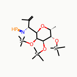 C=C(C)[C@@H](N=P)[C@H]1O[C@H](C)[C@H](O[Si](C)(C)C)[C@@H](O[Si](C)(C)C)[C@H]1O[Si](C)(C)C